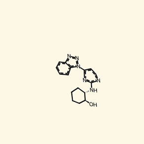 O[C@H]1CCCC[C@@H]1Nc1nccc(-n2nnc3ccccc32)n1